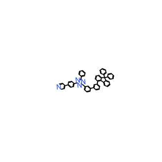 c1ccc(-c2nc(-c3ccc(-c4ccncc4)cc3)nc(-c3cccc(-c4cccc(-c5cccc6c5-c5ccccc5C6(c5ccccc5)c5ccccc5)c4)c3)n2)cc1